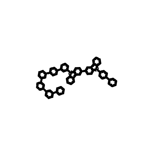 c1ccc(-c2ccc(-n3c4ccccc4c4cc(-c5ccc6c(c5)c5ccccc5n6-c5cccc(-c6ccc(-c7cccc(-c8cccc(-c9cccc(-c%10ccccc%10)c9)c8)c7)cc6)c5)ccc43)cc2)cc1